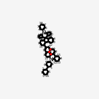 c1ccc(-c2ccc(N(c3ccc4cc(-c5cccc6c5-c5ccccc5C65c6ccccc6N(c6ccccc6)c6ccccc65)ccc4c3)c3ccccc3-c3ccccc3)cc2)cc1